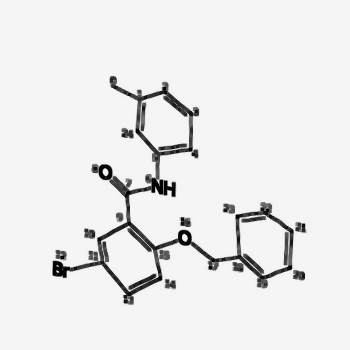 Cc1cccc(NC(=O)c2cc(Br)ccc2OCc2ccccc2)c1